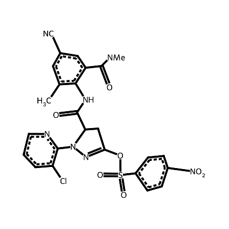 CNC(=O)c1cc(C#N)cc(C)c1NC(=O)C1CC(OS(=O)(=O)c2ccc([N+](=O)[O-])cc2)=NN1c1ncccc1Cl